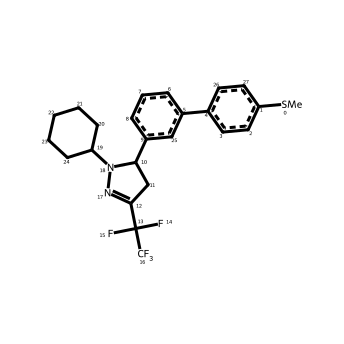 CSc1ccc(-c2cccc(C3CC(C(F)(F)C(F)(F)F)=NN3C3CCCCC3)c2)cc1